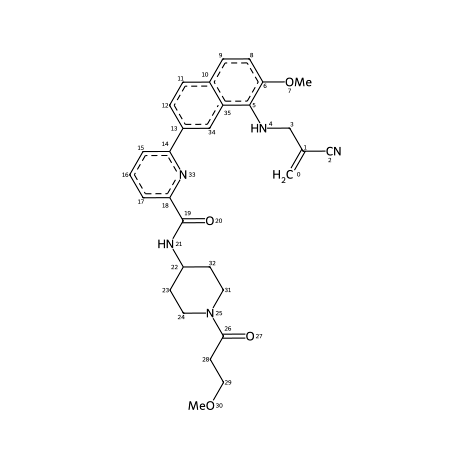 C=C(C#N)CNc1c(OC)ccc2ccc(-c3cccc(C(=O)NC4CCN(C(=O)CCOC)CC4)n3)cc12